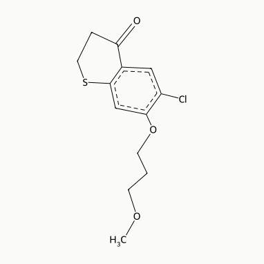 COCCCOc1cc2c(cc1Cl)C(=O)CCS2